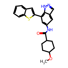 COC1CCC(C(=O)Nc2cc(-c3cc4ccccc4s3)c3[nH]ncc3c2)CC1